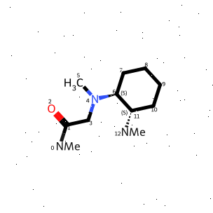 CNC(=O)CN(C)[C@H]1CCCC[C@@H]1NC